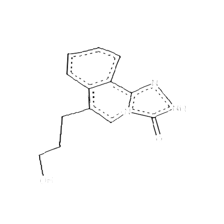 O=c1[nH]nc2c3ccccc3c(CCCO)cn12